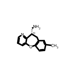 Cc1ccc2c(c1)C[C@@H](CN)c1ncccc1O2